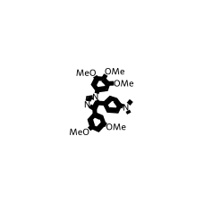 COc1cc(OC)cc(-c2ncn(-c3cc(OC)c(OC)c(OC)c3)c2-c2ccc(N(C)C)cc2)c1